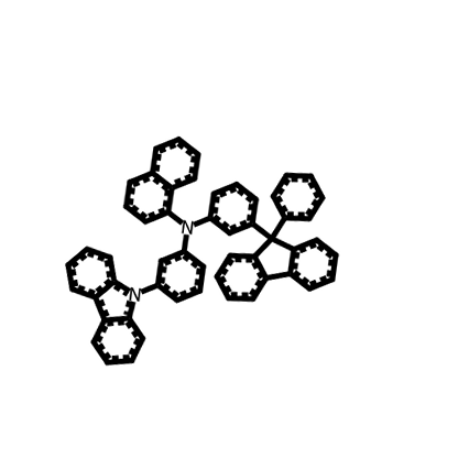 c1ccc(C2(c3cccc(N(c4cccc(-n5c6ccccc6c6ccccc65)c4)c4cccc5ccccc45)c3)c3ccccc3-c3ccccc32)cc1